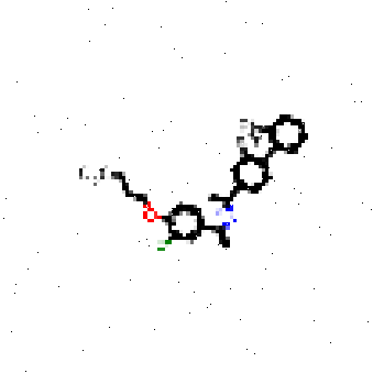 C=C(/N=C(\C)c1ccc(-c2ccccc2CC)c(CCC)c1)c1ccc(OCCCC(=O)O)c(F)c1